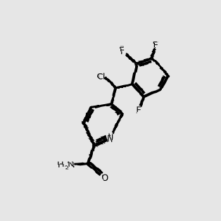 NC(=O)c1ccc(C(Cl)c2c(F)ccc(F)c2F)cn1